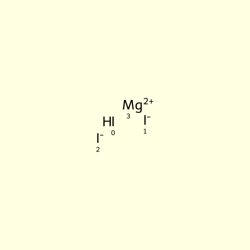 I.[I-].[I-].[Mg+2]